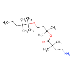 CCCC(C)(C)C(C)(C)OCCC(C)(C)OC(=O)C(C)(C)CCN